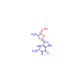 NC1NC(=O)C2=C(N1)N([C@H]1CC(N)[C@@H](CO)O1)CN2